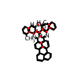 Cc1ccccc1-c1nc(-c2ccc(-c3cccc4cccc(-c5ccc(-c6nc(-c7ccccc7C)nc(-c7ccccc7C)n6)cc5)c34)cc2)nc(-c2ccccc2C)n1